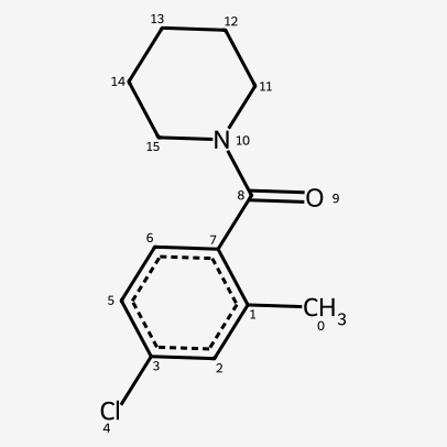 Cc1cc(Cl)ccc1C(=O)N1CCCCC1